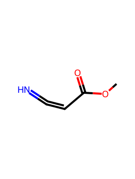 COC(=O)C=C=N